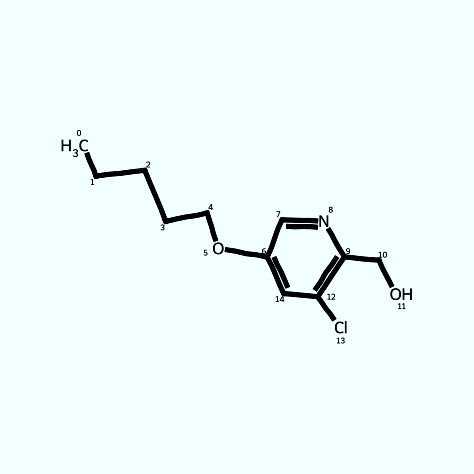 CCCCCOc1cnc(CO)c(Cl)c1